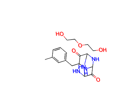 Cc1cccc(CC23NC4NC(NC(N2)C4=O)C3=O)c1.OCCOCCO